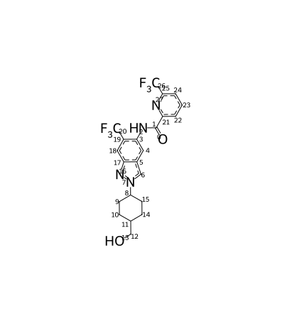 O=C(Nc1cc2cn(C3CCC(CO)CC3)nc2cc1C(F)(F)F)c1cccc(C(F)(F)F)n1